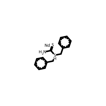 NC(=S)[SH](Cc1ccccc1)Cc1ccccc1.[Nd]